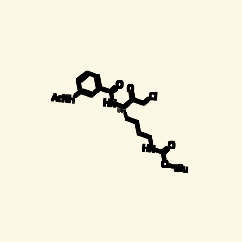 CC(=O)Nc1cccc(C(=O)N[C@@H](CCCCNC(=O)OC(C)(C)C)C(=O)CCl)c1